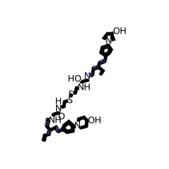 C=C/C=C(\C=C/NCC(=O)NCCSSCCNC(O)C/N=C/C=C(/C=C/c1ccc(N2CCC(O)C2)cc1)CC)/C=C/c1ccc(N2CCC(O)CC2)cc1